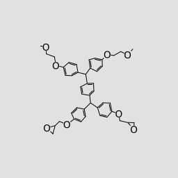 COCCOc1ccc(C(c2ccc(OCCOC)cc2)c2ccc(C(c3ccc(OCC4CO4)cc3)c3ccc(OCC4CO4)cc3)cc2)cc1